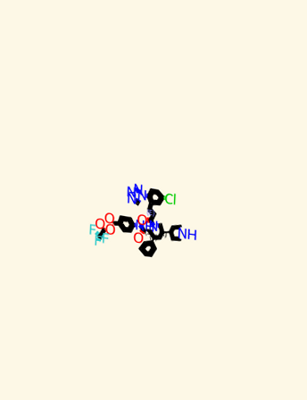 O=C(OC(=O)C(F)(F)F)c1ccc(NC(=O)[C@@H]2[C@H](c3ccccc3)C[C@H](C3CCNCC3)CN2C(=O)/C=C/c2cc(Cl)ccc2-n2cnnn2)cc1